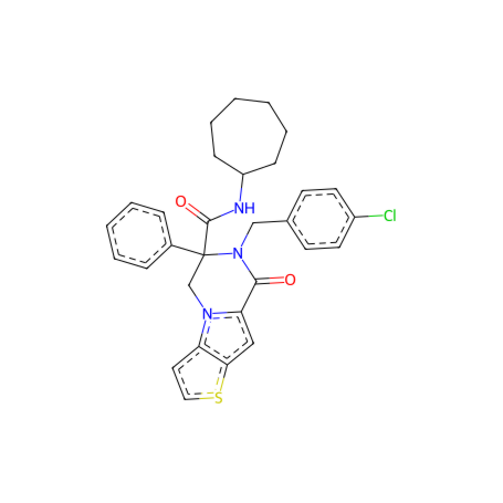 O=C1c2cc3sccc3n2CC(C(=O)NC2CCCCCC2)(c2ccccc2)N1Cc1ccc(Cl)cc1